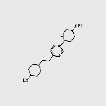 CCCC1CCC(c2ccc(CCC3CCC(CC)CC3)cc2)OC1